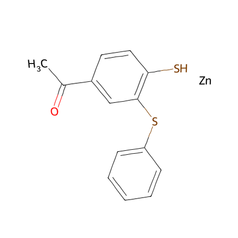 CC(=O)c1ccc(S)c(Sc2ccccc2)c1.[Zn]